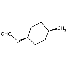 C[C@H]1CC[C@@H](OC=O)CC1